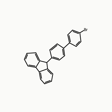 Brc1ccc(-c2ccc(C3c4ccccc4-c4ccccc43)cc2)cc1